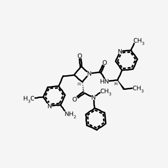 CC[C@@H](NC(=O)N1C(=O)C(Cc2cc(C)nc(N)c2)[C@H]1C(=O)N(C)c1ccccc1)c1ccc(C)nc1